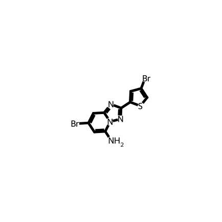 Nc1cc(Br)cc2nc(-c3cc(Br)cs3)nn12